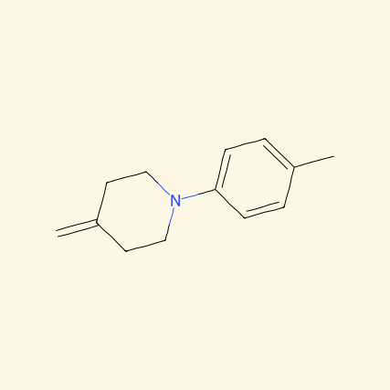 C=C1CCN(c2ccc(C)cc2)CC1